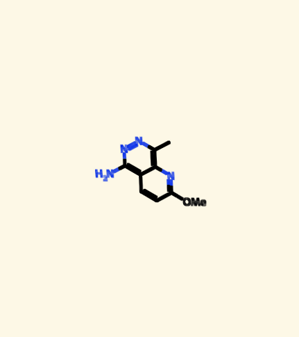 COc1ccc2c(N)nnc(C)c2n1